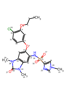 CCCOc1cc(Oc2cc3c(cc2NS(=O)(=O)c2cn(C)cn2)n(C)c(=O)n3C)ccc1Cl